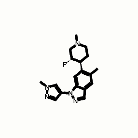 Cc1cc2cnn(-c3cnn(C)c3)c2cc1[C@@H]1CCN(C)C[C@H]1F